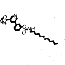 CCCCCCCCCCCCNC(=O)Oc1cccc(-c2cncc(-c3nnco3)c2)c1